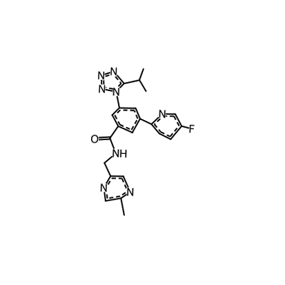 Cc1cnc(CNC(=O)c2cc(-c3ccc(F)cn3)cc(-n3nnnc3C(C)C)c2)cn1